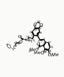 COC(=O)c1c(/C=C/c2cc3c(cc2CCNC(=O)OCC(Cl)(Cl)Cl)OCO3)ccc(OC)c1OC